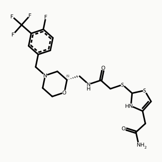 NC(=O)CC1=CSC(SCC(=O)NC[C@H]2CN(Cc3ccc(F)c(C(F)(F)F)c3)CCO2)N1